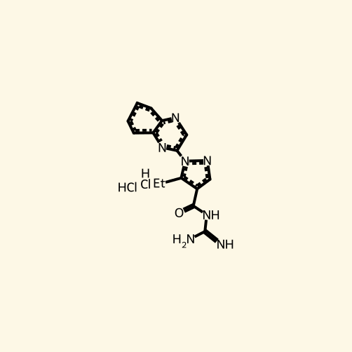 CCc1c(C(=O)NC(=N)N)cnn1-c1cnc2ccccc2n1.Cl.Cl